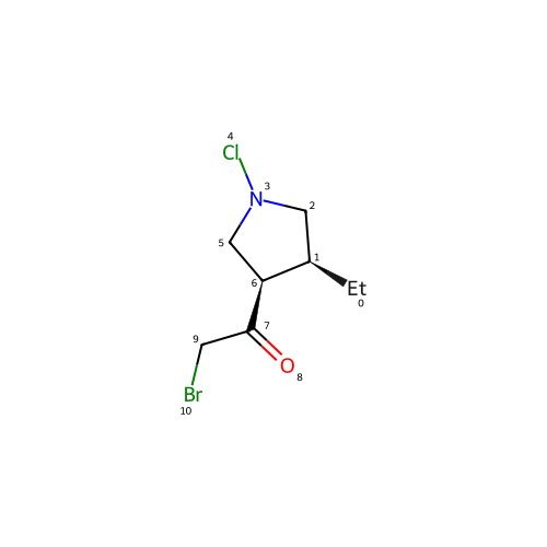 CC[C@@H]1CN(Cl)C[C@@H]1C(=O)CBr